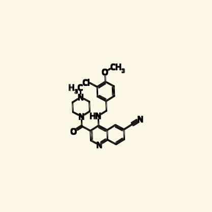 COc1ccc(CNc2c(C(=O)N3CCN(C)CC3)cnc3ccc(C#N)cc23)cc1Cl